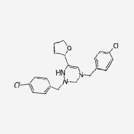 Clc1ccc(CN2C=C(C3CCCO3)NN(Cc3ccc(Cl)cc3)C2)cc1